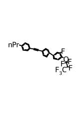 CCCc1ccc(C#Cc2ccc(-c3ccc(OC(F)(F)C(F)C(F)(F)F)c(F)c3)cc2)cc1